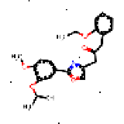 CCOc1ccccc1CC(=O)Cc1coc(-c2ccc(OC)c(OC(C)C)c2)n1